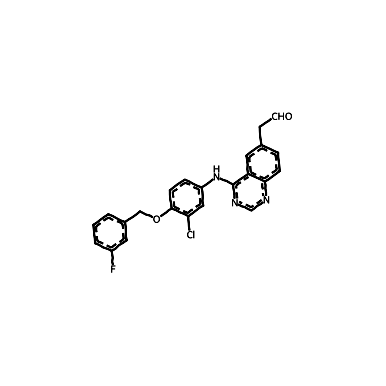 O=CCc1ccc2ncnc(Nc3ccc(OCc4cccc(F)c4)c(Cl)c3)c2c1